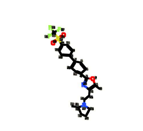 Cc1oc(-c2ccc(-c3ccc(S(=O)(=O)C(F)(F)F)cc3)cc2)nc1CCN1CCC[C@H]1C